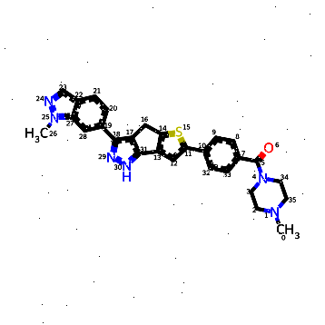 CN1CCN(C(=O)c2ccc(-c3cc4c(s3)Cc3c(-c5ccc6cnn(C)c6c5)n[nH]c3-4)cc2)CC1